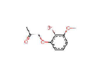 COc1cccc(OCC(C)=O)c1Br